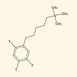 CC(=O)O[Si](CCCCCc1cc(F)c(F)cc1F)(OC(C)=O)OC(C)=O